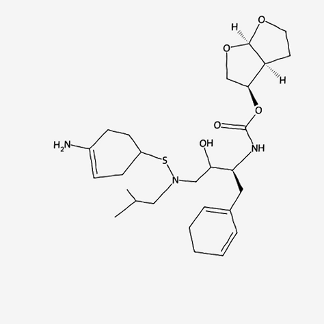 CC(C)CN(CC(O)[C@H](CC1=CCCC=C1)NC(=O)O[C@H]1CO[C@H]2OCC[C@H]21)SC1CC=C(N)CC1